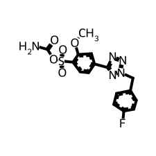 COc1cc(-c2nnn(Cc3ccc(F)cc3)n2)ccc1S(=O)(=O)OC(N)=O